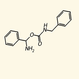 NC(OC(=O)NCc1ccccc1)c1ccccc1